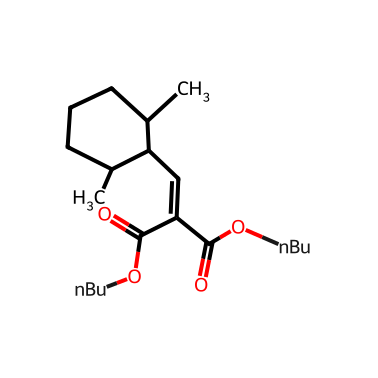 CCCCOC(=O)C(=CC1C(C)CCCC1C)C(=O)OCCCC